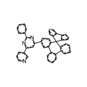 c1ccc(-c2nc(-c3cccnc3)cc(-c3ccc4c(c3)-c3ccccc3-c3ccccc3C43c4ccccc4-c4ccccc43)n2)cc1